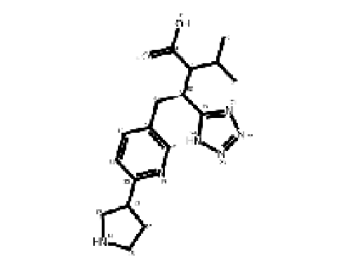 CC(C)C(C(=O)O)[C@H](Cc1ccc(C2CCNC2)nc1)c1nnn[nH]1